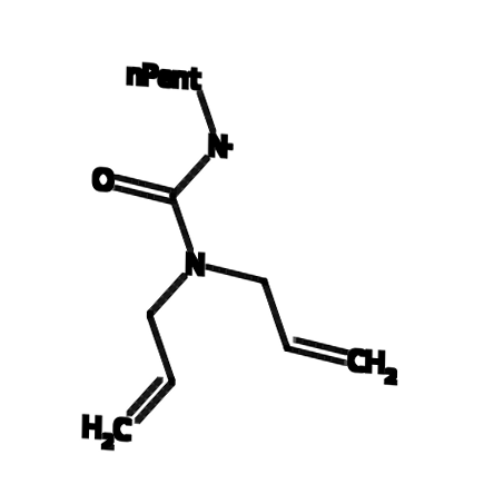 C=CCN(CC=C)C(=O)[N]CCCCC